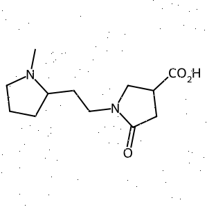 CN1CCCC1CCN1CC(C(=O)O)CC1=O